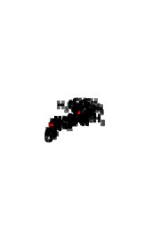 Cc1ncc(-c2ccc3c(c2)CCN(c2nccc(N4CCOCC4)n2)C3)c(N2CCC(C)(C)CC2)c1[C@H](OC(C)(C)C)C(=O)O